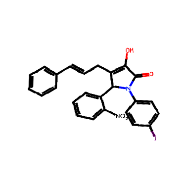 O=C1C(O)=C(CC=Cc2ccccc2)C(c2ccccc2[N+](=O)[O-])N1c1ccc(I)cc1